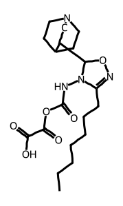 CCCCCCCC1=NOC(C2CN3CCC2CC3)N1NC(=O)OC(=O)C(=O)O